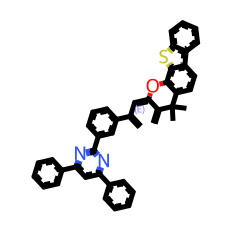 C=C(/C=C1/Oc2c(ccc3c2sc2ccccc23)C(C)(C)C1=C)c1cccc(-c2nc(-c3ccccc3)cc(-c3ccccc3)n2)c1